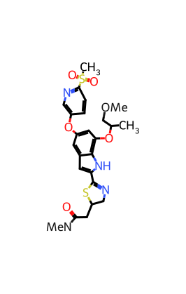 CNC(=O)CC1CN=C(c2cc3cc(Oc4ccc(S(C)(=O)=O)nc4)cc(OC(C)COC)c3[nH]2)S1